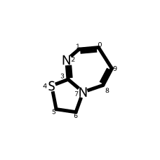 C1=CN=C2SCCN2C=C1